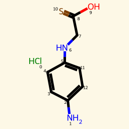 Cl.Nc1ccc(NCC(O)=S)cc1